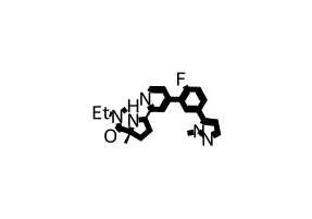 CCN(C)C(=O)[C@@]1(C)CC[C@H](c2cc(-c3cc(-c4ccnn4C)ccc3F)ccn2)N1